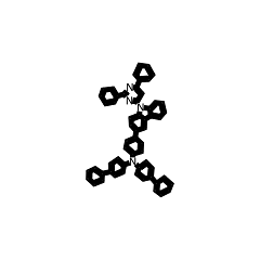 c1ccc(-c2ccc(N(c3ccc(-c4ccccc4)cc3)c3ccc(-c4ccc5c(c4)c4ccccc4n5-c4cc(-c5ccccc5)nc(-c5ccccc5)n4)cc3)cc2)cc1